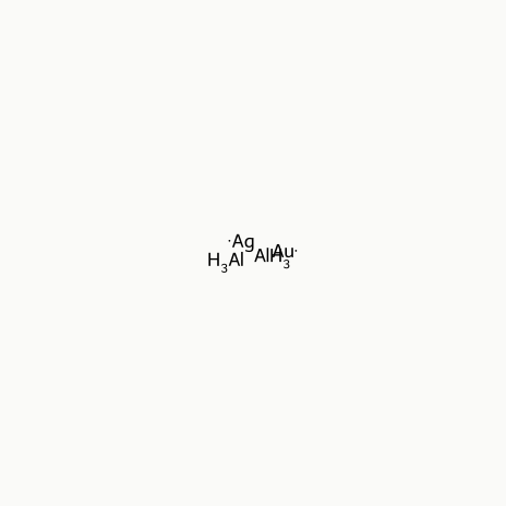 [Ag].[AlH3].[AlH3].[Au]